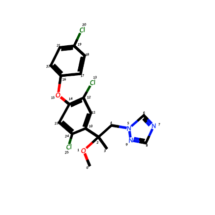 COC(C)(Cn1cncn1)c1cc(Cl)c(Oc2ccc(Cl)cc2)cc1Cl